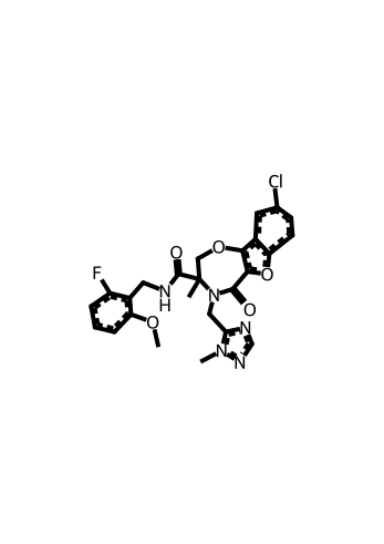 COc1cccc(F)c1CNC(=O)C1(C)COc2c(oc3ccc(Cl)cc23)C(=O)N1Cc1ncnn1C